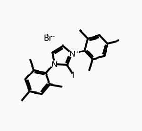 Cc1cc(C)c(-n2cc[n+](-c3c(C)cc(C)cc3C)c2I)c(C)c1.[Br-]